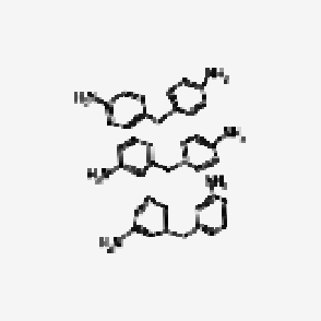 Nc1ccc(Cc2ccc(N)cc2)cc1.Nc1ccc(Cc2cccc(N)c2)cc1.Nc1cccc(Cc2cccc(N)c2)c1